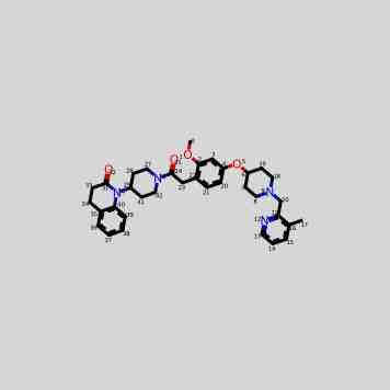 COc1cc(OC2CCN(Cc3ncccc3C)CC2)ccc1CC(=O)N1CCC(N2C(=O)CCc3ccccc32)CC1